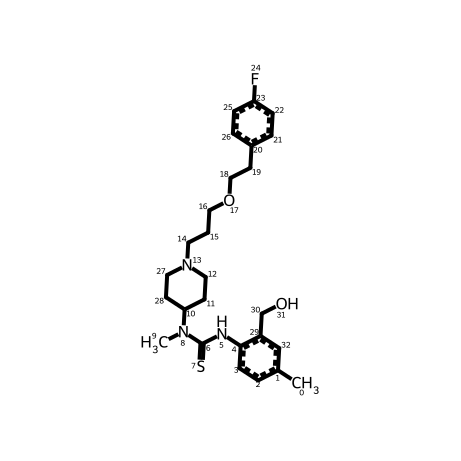 Cc1ccc(NC(=S)N(C)C2CCN(CCCOCCc3ccc(F)cc3)CC2)c(CO)c1